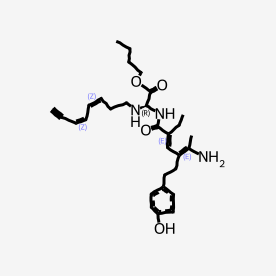 C#C/C=C\C=C/CCN[C@H](NC(=O)/C(=C/C(CCc1ccc(O)cc1)=C(\C)N)CC)C(=O)OCCCC